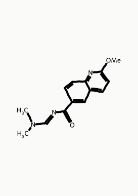 COc1ccc2cc(C(=O)N=CN(C)C)ccc2n1